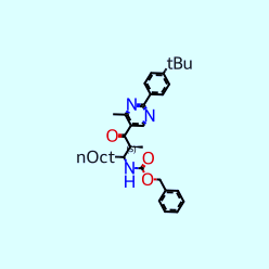 CCCCCCCCC(NC(=O)OCc1ccccc1)[C@H](C)C(=O)c1cnc(-c2ccc(C(C)(C)C)cc2)nc1C